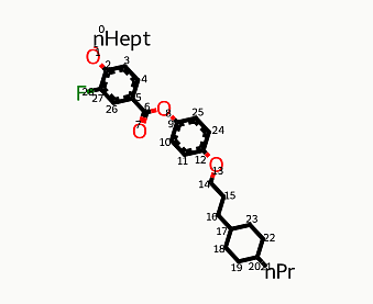 CCCCCCCOc1ccc(C(=O)Oc2ccc(OCCCC3CCC(CCC)CC3)cc2)cc1F